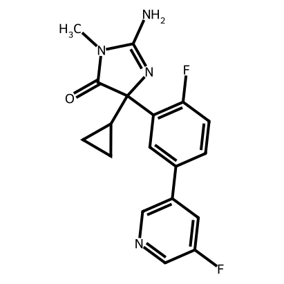 CN1C(=O)C(c2cc(-c3cncc(F)c3)ccc2F)(C2CC2)N=C1N